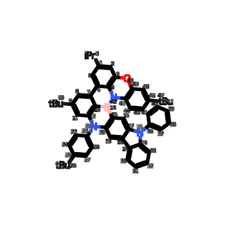 CC(C)c1cc2c3c(c1)-c1cc(C(C)(C)C)cc4c1B(c1cc5c(cc1N4c1ccc(C(C)(C)C)cc1)c1ccccc1n5-c1ccccc1)N3c1ccc(C(C)(C)C)cc1O2